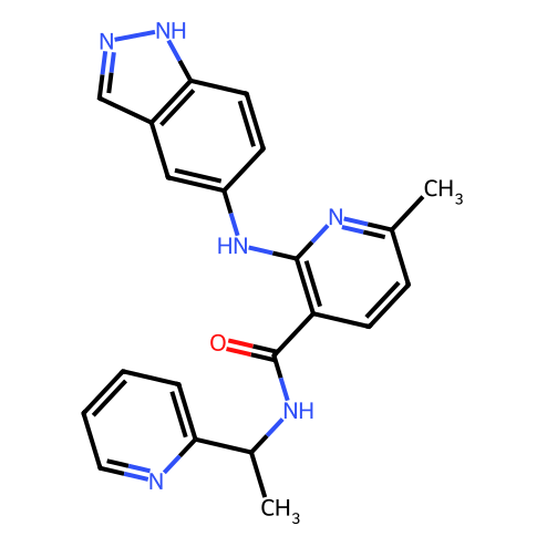 Cc1ccc(C(=O)NC(C)c2ccccn2)c(Nc2ccc3[nH]ncc3c2)n1